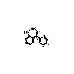 C1=NNc2ccccc2C(c2ccccn2)=C1